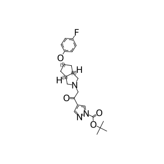 CC(C)(C)OC(=O)n1cc(C(=O)CN2C[C@H]3C[C@H](Oc4ccc(F)cc4)C[C@H]3C2)cn1